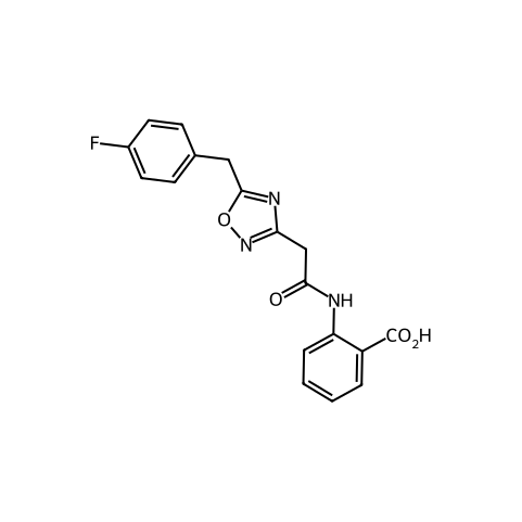 O=C(Cc1noc(Cc2ccc(F)cc2)n1)Nc1ccccc1C(=O)O